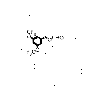 O=COCc1cc(OC(F)(F)F)cc(OC(F)(F)F)c1